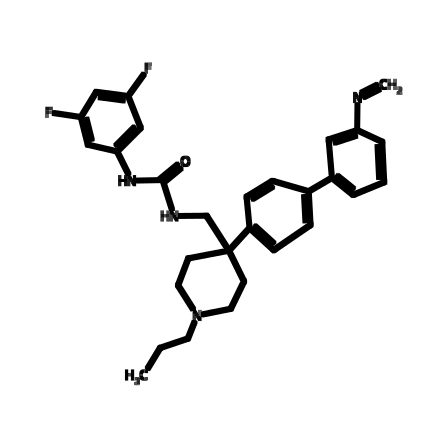 C=Nc1cccc(-c2ccc(C3(CNC(=O)Nc4cc(F)cc(F)c4)CCN(CCC)CC3)cc2)c1